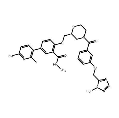 CNC(=O)c1cc(-c2ccc(O)nc2F)ccc1OC[C@@H]1CN(C(=O)c2cccc(OCc3nnnn3C)c2)CCO1